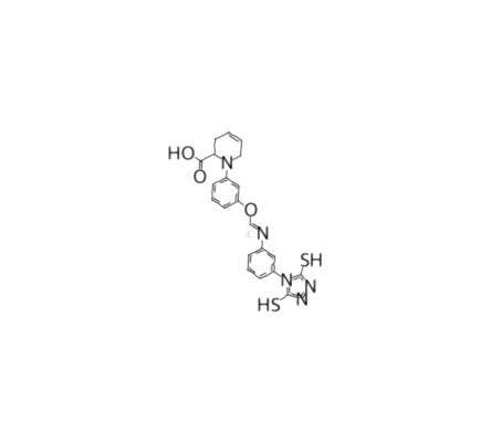 O=C(O)C1CC=CCN1c1cccc(O/C=N/c2cccc(-n3c(S)nnc3S)c2)c1